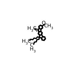 CCCCCCC1(CCCCCC)c2ccccc2-c2cc3c4cc(C(C)=O)ccc4n(CC)c3cc21